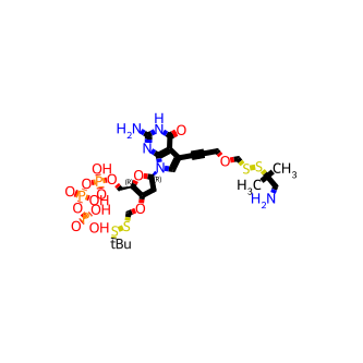 CC(C)(C)SSCOC1C[C@H](n2cc(C#CCOCSSC(C)(C)CN)c3c(=O)[nH]c(N)nc32)O[C@@H]1COP(=O)(O)OP(=O)(O)OP(=O)(O)O